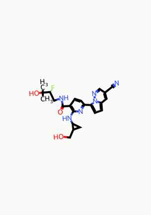 CC(C)(O)[C@H](F)CNC(=O)c1ccc(-c2ccc3cc(C#N)cnn23)nc1NC1CC1CO